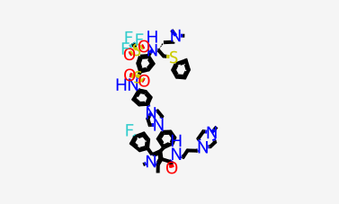 Cc1c(C(=O)NCCCN2CCN(C)CC2)c(-c2cccc(N3CCN(c4ccc(NS(=O)(=O)c5ccc(N[C@H](CCN(C)C)CSc6ccccc6)c(S(=O)(=O)C(F)(F)F)c5)cc4)CC3)c2)c(-c2ccc(F)cc2)n1C